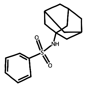 O=S(=O)(NC12CC3CC(CC(C3)C1)C2)c1ccccc1